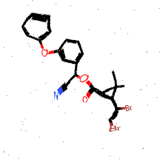 CC1(C)C(C(=O)OC(C#N)c2cccc(Oc3ccccc3)c2)C1C(Br)=CBr